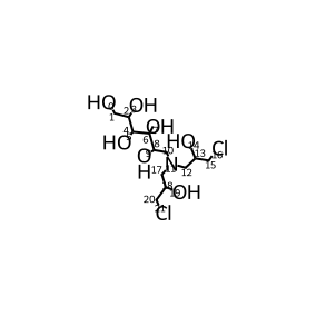 OCC(O)C(O)C(O)C(O)CN(CC(O)CCl)CC(O)CCl